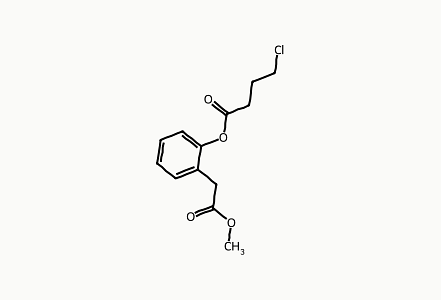 COC(=O)Cc1ccccc1OC(=O)CCCCl